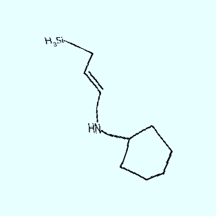 [SiH3]CC=CNC1CCCCC1